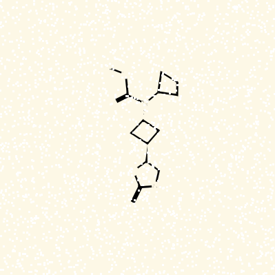 CC(C)(C)OC(=O)N(C1CCC1)[C@H]1C[C@H](C2CNC(=O)O2)C1